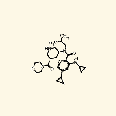 CC(C)CN(C(=O)c1ncc(C2CC2)cc1NC1CC1)[C@@H]1CNC[C@H](C(=O)N2CCOCC2)C1